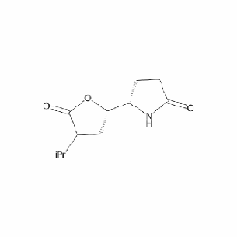 CC(C)C1C[C@@H]([C@@H]2CCC(=O)N2)OC1=O